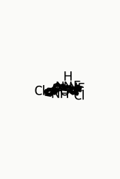 O=C(CN1CCc2c([nH]c3ccc(Cl)cc23)C1)Nc1ccc(Cl)c(C(F)(F)F)n1